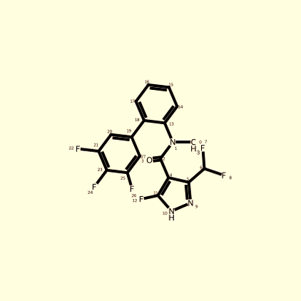 CN(C(=O)c1c(C(F)F)n[nH]c1F)c1ccccc1-c1cc(F)c(F)c(F)c1